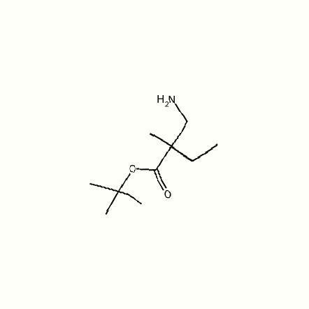 CCC(C)(CN)C(=O)OC(C)(C)C